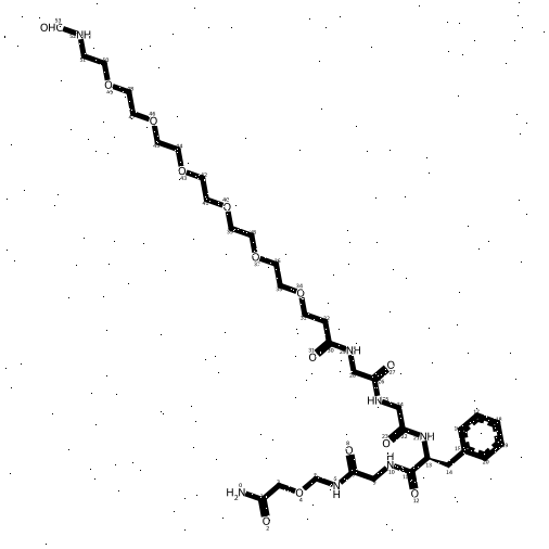 NC(=O)COCNC(=O)CNC(=O)[C@H](Cc1ccccc1)NC(=O)CNC(=O)CNC(=O)CCOCCOCCOCCOCCOCCOCCNC=O